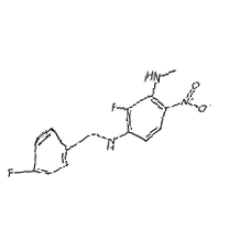 CNc1c([N+](=O)[O-])ccc(NCc2ccc(F)cc2)c1F